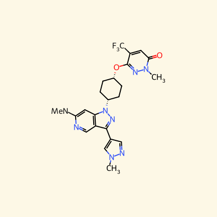 CNc1cc2c(cn1)c(-c1cnn(C)c1)nn2[C@H]1CC[C@@H](Oc2nn(C)c(=O)cc2C(F)(F)F)CC1